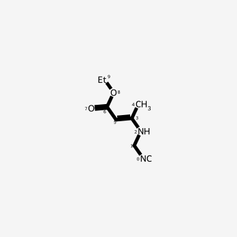 [C-]#[N+]CNC(C)=CC(=O)OCC